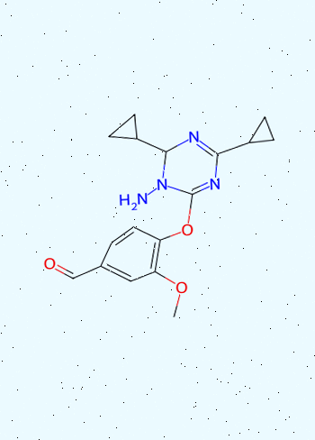 COc1cc(C=O)ccc1OC1=NC(C2CC2)=NC(C2CC2)N1N